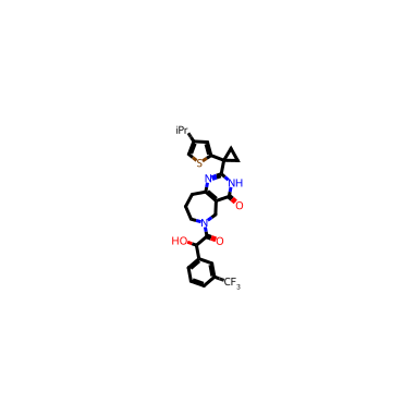 CC(C)c1csc(C2(c3nc4c(c(=O)[nH]3)CN(C(=O)C(O)c3cccc(C(F)(F)F)c3)CCC4)CC2)c1